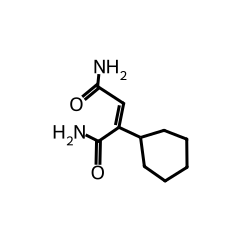 NC(=O)/C=C(\C(N)=O)C1CCCCC1